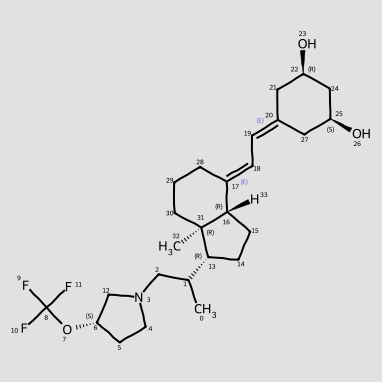 CC(CN1CC[C@H](OC(F)(F)F)C1)[C@H]1CC[C@H]2/C(=C/C=C3/C[C@@H](O)C[C@@H](O)C3)CCC[C@]12C